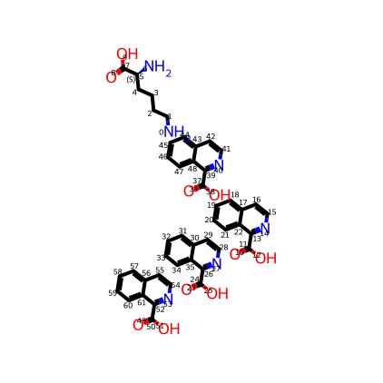 NCCCC[C@H](N)C(=O)O.O=C(O)c1nccc2ccccc12.O=C(O)c1nccc2ccccc12.O=C(O)c1nccc2ccccc12.O=C(O)c1nccc2ccccc12